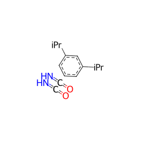 CC(C)c1cccc(C(C)C)c1.N=C=O.N=C=O